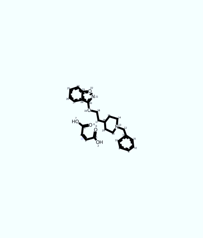 O=C(O)/C=C\C(=O)O.c1ccc(CN2CCC(CCOc3noc4ccccc34)CC2)cc1